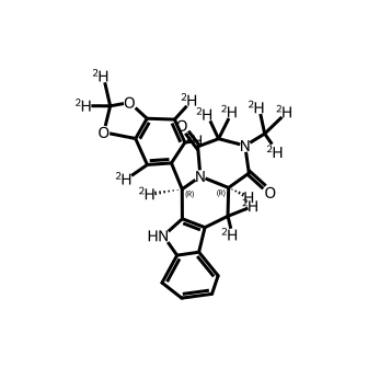 [2H]c1c([2H])c([C@]2([2H])c3[nH]c4ccccc4c3C([2H])([2H])[C@@H]3C(=O)N(C([2H])([2H])[2H])C([2H])([2H])C(=O)N32)c([2H])c2c1OC([2H])([2H])O2